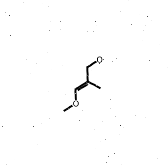 CO/C=C(\C)C[O]